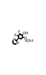 CCCCCCCCOc1cc(-c2ncccn2)c(F)c(F)c1O